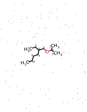 [CH2]C(C)OCC(CC)CCCC